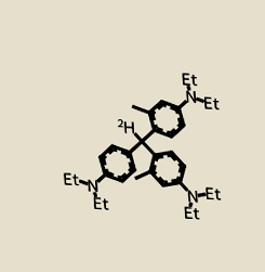 [2H]C(c1ccc(N(CC)CC)cc1)(c1ccc(N(CC)CC)cc1C)c1ccc(N(CC)CC)cc1C